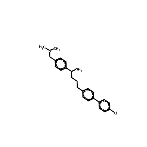 CN(C)Cc1ccc(C(N)CCCc2ccc(-c3ccc(Cl)cc3)cc2)cc1